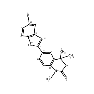 CN1C(=O)CC(C)(C)c2cc(-c3nc4cc(F)ccc4[nH]3)ccc21